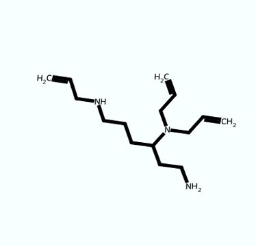 C=CCNCCCC(CCN)N(CC=C)CC=C